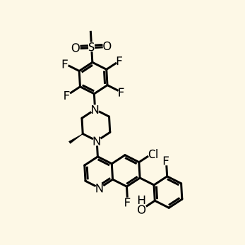 C[C@H]1CN(c2c(F)c(F)c(S(C)(=O)=O)c(F)c2F)CCN1c1ccnc2c(F)c(-c3c(O)cccc3F)c(Cl)cc12